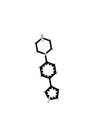 c1cc(-c2ccc(N3CCNCC3)cc2)cs1